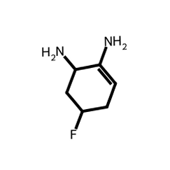 NC1=CCC(F)CC1N